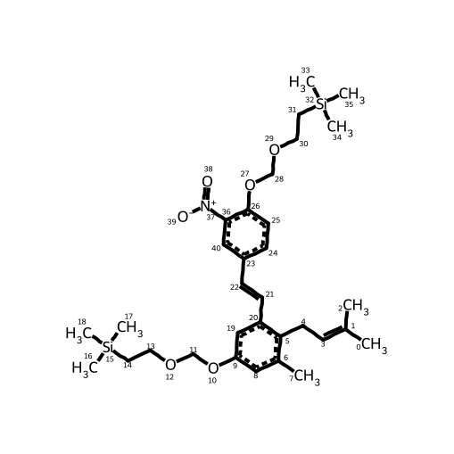 CC(C)=CCc1c(C)cc(OCOCC[Si](C)(C)C)cc1/C=C/c1ccc(OCOCC[Si](C)(C)C)c([N+](=O)[O-])c1